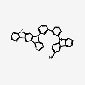 N#Cc1ccc2c(c1)c1ccccc1n2-c1cccc(-c2cccc(-n3c4cc5sc6ccccc6c5cc4c4ncccc43)c2)c1